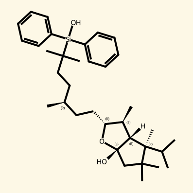 CC(C)[C@]1(C)[C@H]2[C@H](C)[C@@H](CC[C@@H](C)CCC(C)(C)[Si](O)(c3ccccc3)c3ccccc3)O[C@@]2(O)CC1(C)C